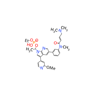 CCOP(=O)(O)OC(C)n1cc(-c2ccnc(OC)c2)c2cc(-c3cccc(N(C)C(=O)/C=C/CN(C)C)c3)cnc21